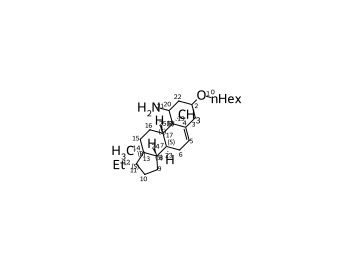 [CH2]CCCCCOC1CC2=CC[C@H]3[C@@H]4CC[C@H](CC)[C@@]4(C)CC[C@@H]3[C@@]2(C)C(N)C1